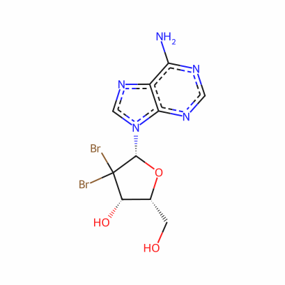 Nc1ncnc2c1ncn2[C@@H]1O[C@H](CO)[C@H](O)C1(Br)Br